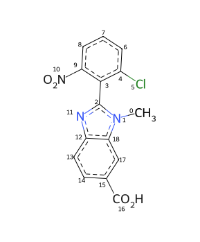 Cn1c(-c2c(Cl)cccc2[N+](=O)[O-])nc2ccc(C(=O)O)cc21